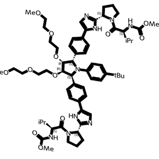 COCCOCCO[C@H]1[C@H](OCCOCCOC)[C@H](c2ccc(-c3cnc([C@@H]4CCCN4C(=O)[C@@H](NC(=O)OC)C(C)C)[nH]3)cc2)N(c2ccc(C(C)(C)C)cc2)[C@H]1c1ccc(-c2cnc([C@@H]3CCCN3C(=O)[C@@H](NC(=O)OC)C(C)C)[nH]2)cc1